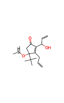 C=CCC1=C(C(O)C=C)C(=O)CC1(O[SiH](C)C)C(C)(C)C